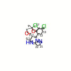 CC1=C(C(=O)OC(C)(C)C)C(c2ccc(Cl)c(Cl)c2)n2nccc2N1